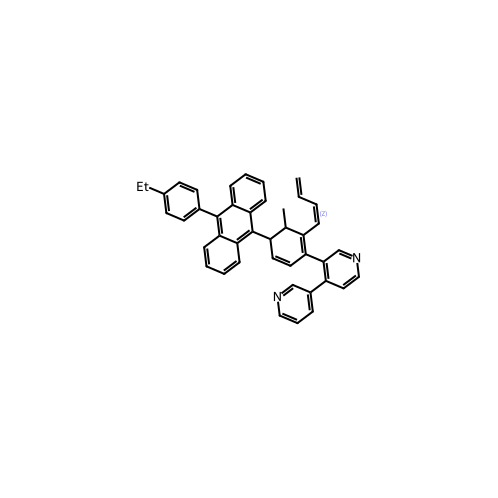 C=C/C=C\C1=C(c2cnccc2-c2cccnc2)C=CC(c2c3ccccc3c(-c3ccc(CC)cc3)c3ccccc23)C1C